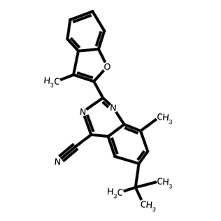 Cc1c(-c2nc(C#N)c3cc(C(C)(C)C)cc(C)c3n2)oc2ccccc12